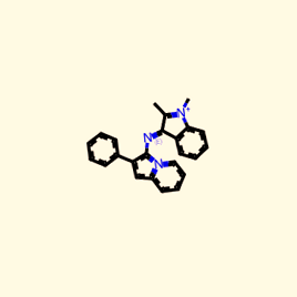 CC1=[N+](C)c2ccccc2/C1=N\c1c(-c2ccccc2)cc2ccccn12